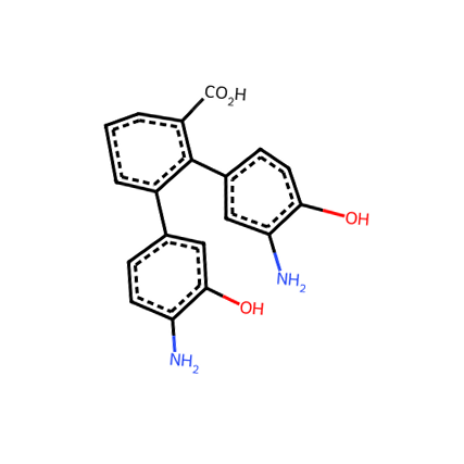 Nc1cc(-c2c(C(=O)O)cccc2-c2ccc(N)c(O)c2)ccc1O